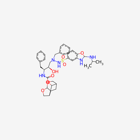 CC(C)NC1Nc2cc(S(=O)(=O)NN(Cc3ccccc3)C[C@@H](O)[C@H](Cc3ccccc3)NC(=O)OC3C4COC5OCC3C5C4)ccc2O1